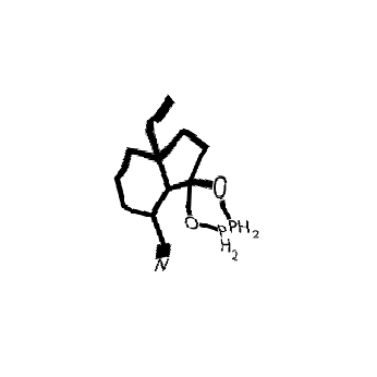 C=CC12CCCC(C#N)C1C(OP)(OP)CC2